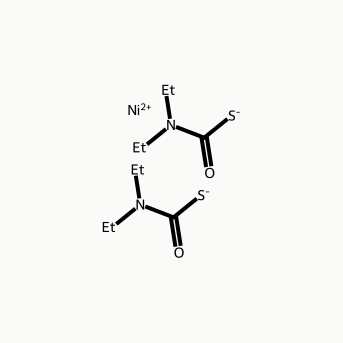 CCN(CC)C(=O)[S-].CCN(CC)C(=O)[S-].[Ni+2]